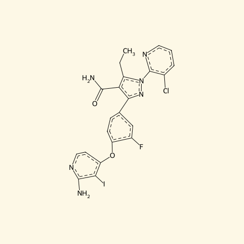 CCc1c(C(N)=O)c(-c2ccc(Oc3ccnc(N)c3I)c(F)c2)nn1-c1ncccc1Cl